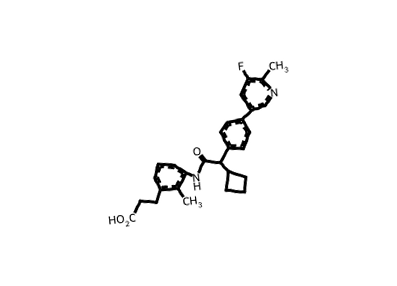 Cc1ncc(-c2ccc(C(C(=O)Nc3cccc(CCC(=O)O)c3C)C3CCC3)cc2)cc1F